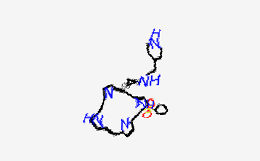 O=S(=O)(c1ccccc1)C12C=C3C=CC(=N3)C=c3ccc([nH]3)=CC3=NC(=C([C@@H]4C[C@H]4NCCC4CCNCC4)C(=CC1)N2)C=C3